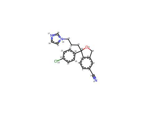 N#Cc1ccc2c(c1)COC2(CCCn1ccnc1)c1ccc(Cl)cc1